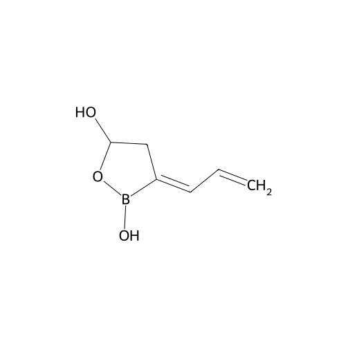 C=C/C=C1\CC(O)OB1O